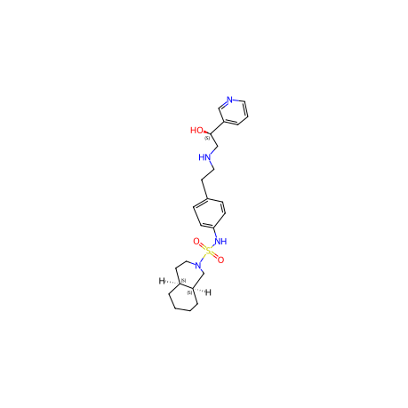 O=S(=O)(Nc1ccc(CCNC[C@@H](O)c2cccnc2)cc1)N1CC[C@@H]2CCCC[C@@H]2C1